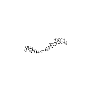 CC(C)(C)OC(=O)N1CCc2nc(N3CCN(CCOCCN4CCN(c5ncc(C(=O)O)cn5)CC4)CC3)ncc2C1